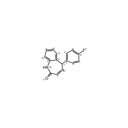 O=C1C=NC(c2ccc(F)cc2)c2ccccc2N1